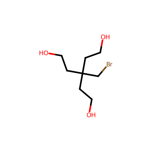 OCCC(CBr)(CCO)CCO